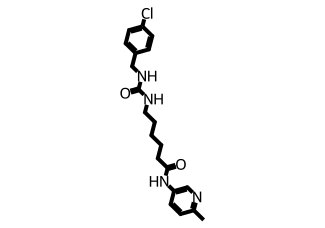 Cc1ccc(NC(=O)CCCCCNC(=O)NCc2ccc(Cl)cc2)cn1